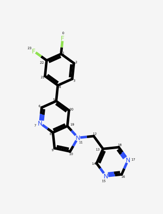 Fc1ccc(-c2cnc3ccn(Cc4cncnc4)c3c2)cc1F